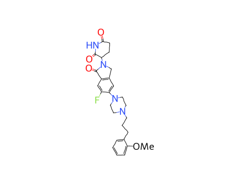 COc1ccccc1CCCN1CCN(c2cc3c(cc2F)C(=O)N(C2CCC(=O)NC2=O)C3)CC1